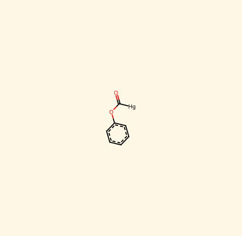 O=[C]([Hg])Oc1ccccc1